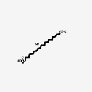 CCCCCCCCCCCCCCCCCCCCCCCCCCCCOP(=O)(O)O.[KH]